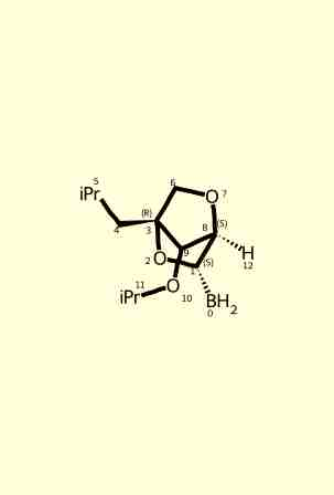 B[C@@H]1O[C@]2(CC(C)C)CO[C@@H]1C2OC(C)C